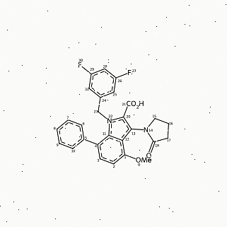 COc1ccc(-c2ccccc2)c2c1c(N1CCCC1=O)c(C(=O)O)n2Cc1cc(F)cc(F)c1